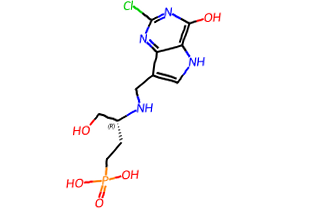 O=P(O)(O)CC[C@H](CO)NCc1c[nH]c2c(O)nc(Cl)nc12